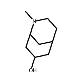 CN1CCC2CC(O)CC1C2